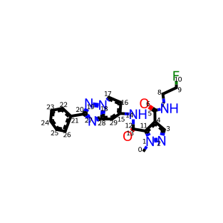 Cn1ncc(C(=O)NCCF)c1C(=O)Nc1ccn2nc(-c3ccccc3)nc2c1